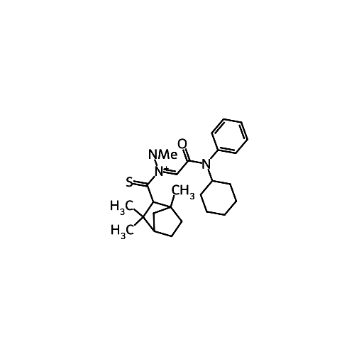 CN[N+](=CC(=O)N(c1ccccc1)C1CCCCC1)C(=S)C1C2(C)CCC(C2)C1(C)C